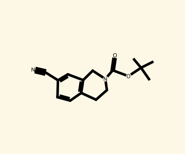 CC(C)(C)OC(=O)N1CCc2ccc(C#N)cc2C1